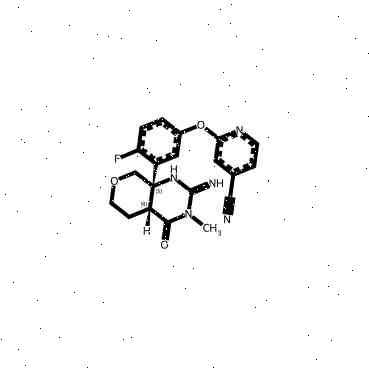 CN1C(=N)N[C@@]2(c3cc(Oc4cc(C#N)ccn4)ccc3F)COCC[C@H]2C1=O